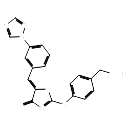 O=C(O)Cc1ccc(NC2=NC(=O)C(=Cc3cccc(-n4cncn4)c3)S2)cc1